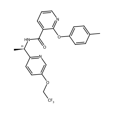 Cc1ccc(Oc2ncccc2C(=O)N[C@H](C)c2ccc(OCC(F)(F)F)cn2)cc1